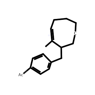 CC(=O)c1ccc(CC2CCCCC/C=C\2C)cc1